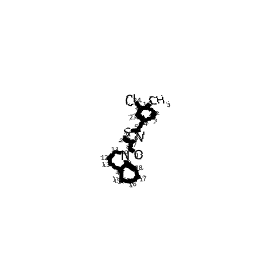 Cc1ccc(-c2nc(C(=O)N3CCCC4CCCC=C43)cs2)cc1Cl